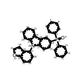 O=P(c1ccccc1)(c1ccccc1)c1ccc2c(c1)c1ccccc1n2-c1cccc2occc12